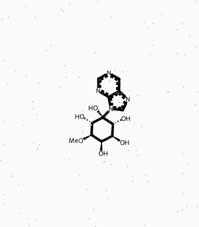 CO[C@@H]1[C@H](O)[C@H](O)[C@@H](O)[C@@](O)(n2cnc3cncnc32)[C@H]1O